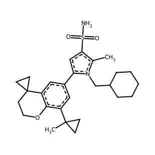 Cc1c(S(N)(=O)=O)cc(-c2cc(C3(C)CC3)c3c(c2)C2(CCO3)CC2)n1CC1CCCCC1